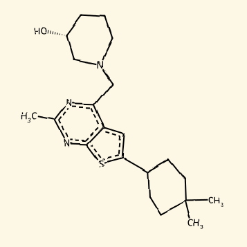 Cc1nc(CN2CCC[C@@H](O)C2)c2cc(C3CCC(C)(C)CC3)sc2n1